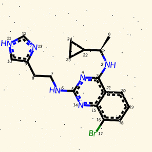 C[C@@H](Nc1nc(NCCc2c[nH]cn2)nc2c(Br)cccc12)C1CC1